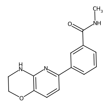 CNC(=O)c1cccc(-c2ccc3c(n2)NCCO3)c1